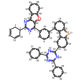 C1=CCC(c2nc(-c3cccc(-c4cccc5sc6ccc(-c7nc(-c8ccccc8)nc(-c8ccccc8)n7)cc6c45)c3)c3oc4ccccc4c3n2)C=C1